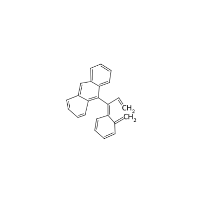 C=C/C(c1c2ccccc2cc2ccccc12)=c1/ccccc1=C